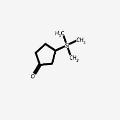 C[Si](C)(C)C1CCC(=O)C1